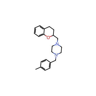 Cc1ccc(CN2CCN(CC3CCc4ccccc4O3)CC2)cc1